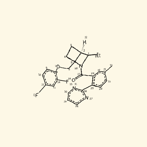 CCC1[C@@H]2CCC2(COc2ccc(F)cc2F)N1C(=O)c1cc(C)ccc1-c1ncccn1